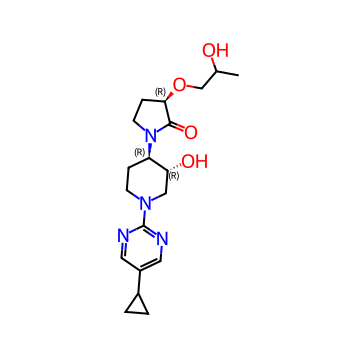 CC(O)CO[C@@H]1CCN([C@@H]2CCN(c3ncc(C4CC4)cn3)C[C@H]2O)C1=O